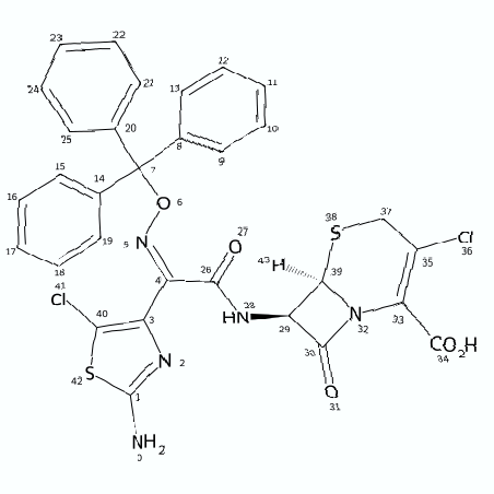 Nc1nc(/C(=N/OC(c2ccccc2)(c2ccccc2)c2ccccc2)C(=O)N[C@@H]2C(=O)N3C(C(=O)O)=C(Cl)CS[C@H]23)c(Cl)s1